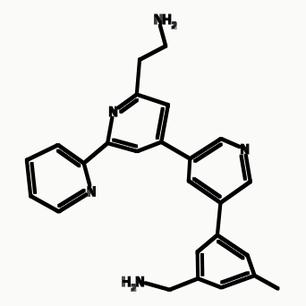 Cc1cc(CN)cc(-c2cncc(-c3cc(CCN)nc(-c4ccccn4)c3)c2)c1